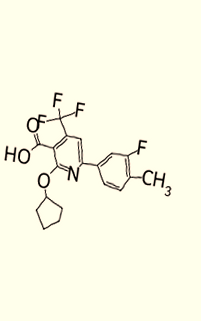 Cc1ccc(-c2cc(C(F)(F)F)c(C(=O)O)c(OC3CCCC3)n2)cc1F